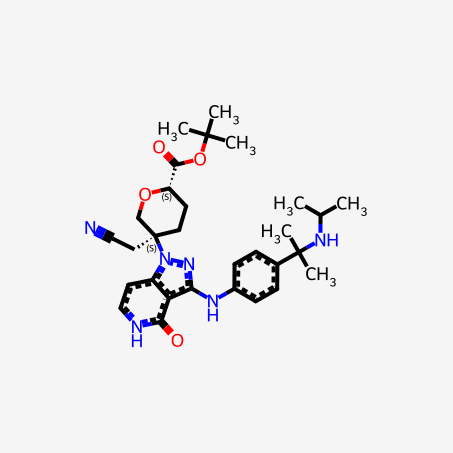 CC(C)NC(C)(C)c1ccc(Nc2nn([C@]3(CC#N)CC[C@@H](C(=O)OC(C)(C)C)OC3)c3cc[nH]c(=O)c23)cc1